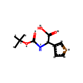 CC(C)(C)OC(=O)NC(C(=O)O)c1ccsc1